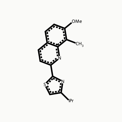 COc1ccc2ccc(-c3nc(C(C)C)cs3)nc2c1C